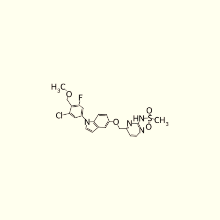 COCc1c(F)cc(-n2ccc3cc(OCc4ccnc(NS(C)(=O)=O)n4)ccc32)cc1Cl